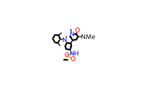 C=CS(=O)(=O)Nc1ccc(N(C)c2c(C)cccc2C)c(-c2cc(NC)c(=O)n(C)c2)c1